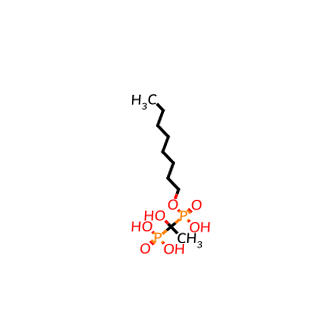 CCCCCCCCOP(=O)(O)C(C)(O)P(=O)(O)O